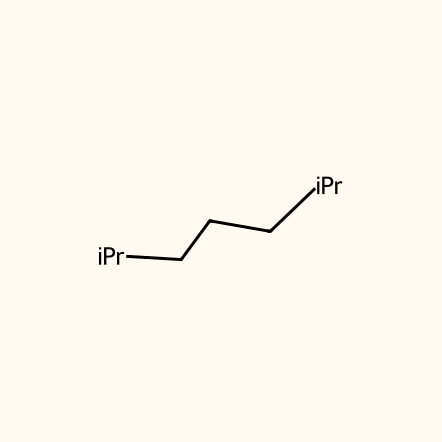 [CH2]C(C)CCCC(C)C